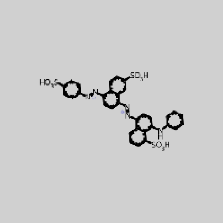 O=S(=O)(O)c1ccc(/N=N/c2ccc(/N=N/c3ccc(Nc4ccccc4)c4c(S(=O)(=O)O)cccc34)c3cc(S(=O)(=O)O)ccc23)cc1